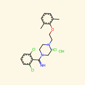 Cc1cccc(C)c1OCCN1CCN(C(=N)c2c(Cl)cccc2Cl)CC1.Cl.Cl